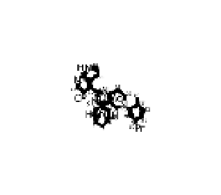 CO[C@H]1C[C@H]2CC[C@@H](C1)N2c1nc(-c2c(C(F)(F)F)cnc3[nH]ccc23)nc2c1CN(c1cc(C(C)C)ccc1C)CC2